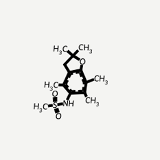 Cc1c(C)c2c(c(C)c1NS(C)(=O)=O)CC(C)(C)O2